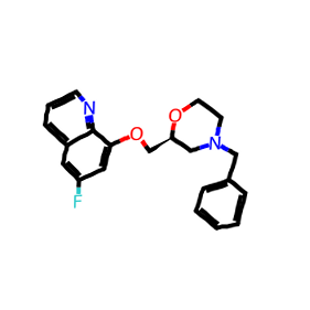 Fc1cc(OC[C@@H]2CN(Cc3ccccc3)CCO2)c2ncccc2c1